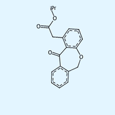 CC(C)OC(=O)Cc1cccc2c1C(=O)c1ccccc1CO2